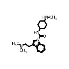 CNC1CCC(NC(=O)n2cc(CCN(C)C)c3ccccc32)CC1